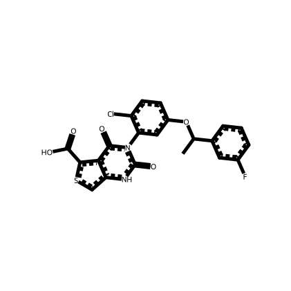 CC(Oc1ccc(Cl)c(-n2c(=O)[nH]c3csc(C(=O)O)c3c2=O)c1)c1cccc(F)c1